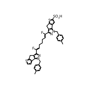 Cc1ccc(Cn2nc(/C(F)=C/CCC/C=C(\F)c3nn(Cc4ccc(C)cc4)c4c3Cc3sc(S(=O)(=O)O)cc3-4)c3c2-c2ccsc2C3)cc1